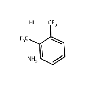 FC(F)(F)c1ccccc1C(F)(F)F.I.N